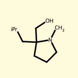 CC(C)CC1(CO)CCCN1C